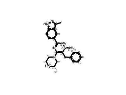 Cc1n[nH]c2ccc(C3=NC(N4CCN[C@@H](C)C4)=C(Cc4ccccc4)N(N)N3)cc12